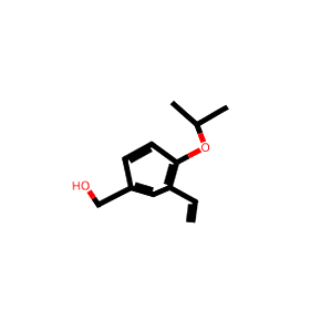 C=Cc1cc(CO)ccc1OC(C)C